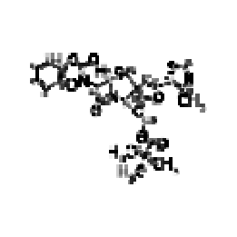 CC(=O)N(Oc1ccccc1)C1C(=O)N2CC(C=Cc3scnc3C)(C(=O)OCOC(=O)C(C)(C)C)CS[C@H]12